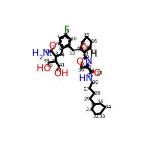 NC(=O)C(Cc1ccc(F)cc1C[C@H]1C2CC[C@@H](O2)[C@H]1c1nc(C(=O)NCCCCC2CCCCC2)co1)C(CO)CO